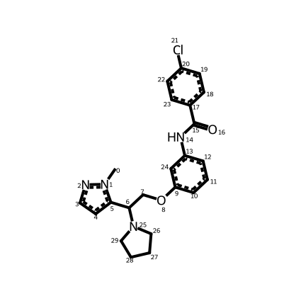 Cn1nccc1C(COc1cccc(NC(=O)c2ccc(Cl)cc2)c1)N1CCCC1